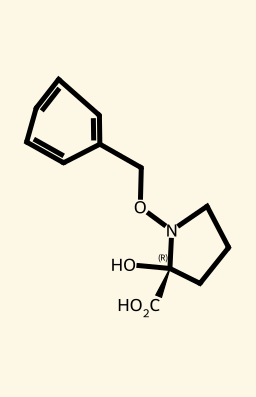 O=C(O)[C@]1(O)CCCN1OCc1ccccc1